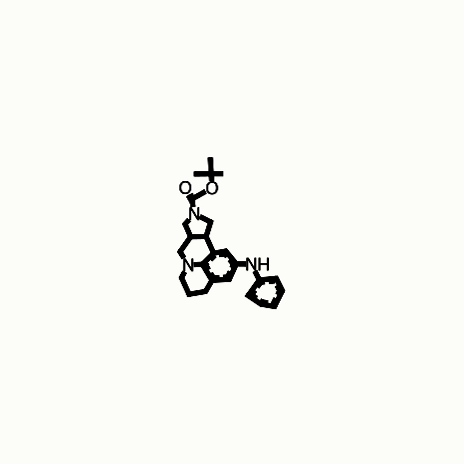 CC(C)(C)OC(=O)N1CC2CN3CCCc4cc(Nc5ccccc5)cc(c43)C2C1